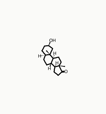 C[C@]12C[C@H](O)CC[C@@H]1CC[C@@H]1[C@@H]2CC[C@]2(C)C(=O)CC[C@@H]12